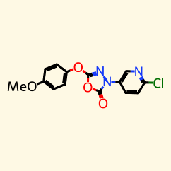 COc1ccc(Oc2nn(-c3ccc(Cl)nc3)c(=O)o2)cc1